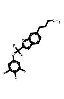 CCCCc1ccc2cc(C(F)(F)Oc3cc(F)c(F)c(F)c3)sc2c1